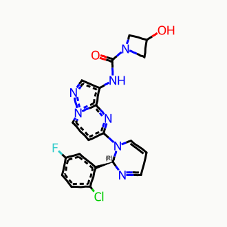 O=C(Nc1cnn2ccc(N3C=CC=N[C@H]3c3cc(F)ccc3Cl)nc12)N1CC(O)C1